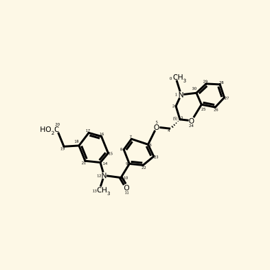 CN1C[C@@H](COc2ccc(C(=O)N(C)c3cccc(CC(=O)O)c3)cc2)Oc2ccccc21